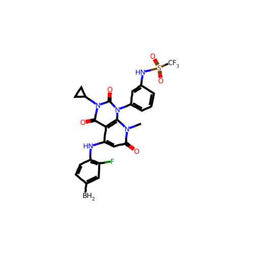 Bc1ccc(Nc2cc(=O)n(C)c3c2c(=O)n(C2CC2)c(=O)n3-c2cccc(NS(=O)(=O)C(F)(F)F)c2)c(F)c1